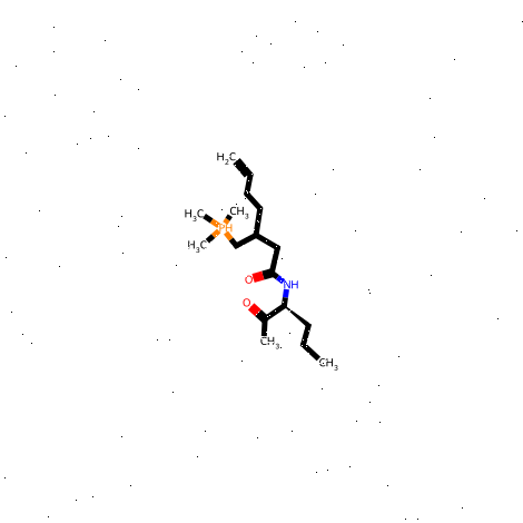 C=CCCC(CC(=O)N[C@@H](CCC)C(C)=O)C[PH](C)(C)C